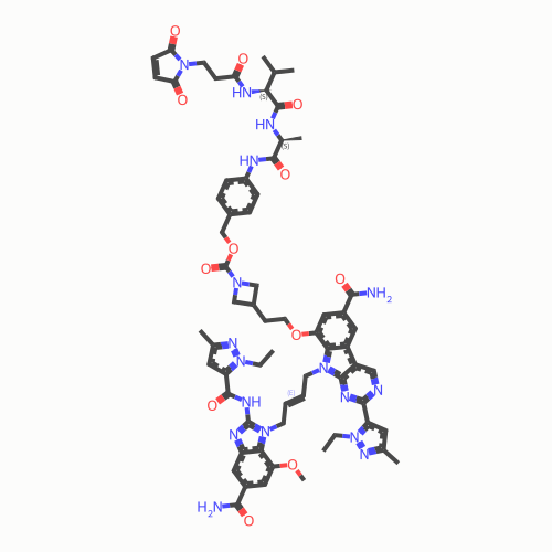 CCn1nc(C)cc1C(=O)Nc1nc2cc(C(N)=O)cc(OC)c2n1C/C=C/Cn1c2nc(-c3cc(C)nn3CC)ncc2c2cc(C(N)=O)cc(OCCC3CN(C(=O)OCc4ccc(NC(=O)[C@H](C)NC(=O)[C@@H](NC(=O)CCN5C(=O)C=CC5=O)C(C)C)cc4)C3)c21